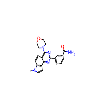 Cn1ccc2c3nc(-c4cccc(C(N)=O)c4)nc(N4CCOCC4)c3ccc21